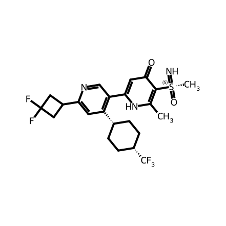 Cc1[nH]c(-c2cnc(C3CC(F)(F)C3)cc2[C@H]2CC[C@@H](C(F)(F)F)CC2)cc(=O)c1[S@@](C)(=N)=O